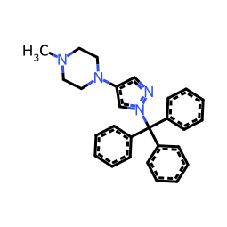 CN1CCN(c2cnn(C(c3ccccc3)(c3ccccc3)c3ccccc3)c2)CC1